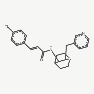 O=C(C=Cc1ccc(Cl)cc1)NC1C2CCN(CC2)C1Cc1cccnc1